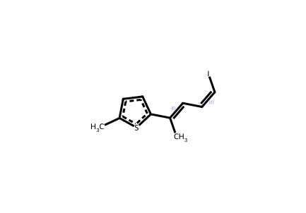 C/C(=C\C=C/I)c1ccc(C)s1